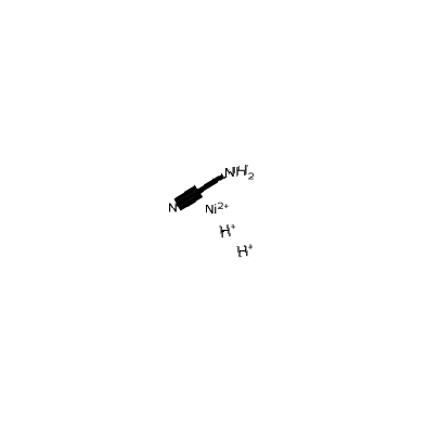 N#CN.[H+].[H+].[Ni+2]